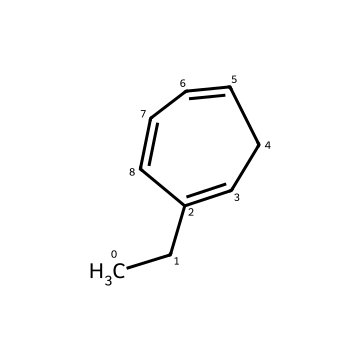 CCC1=CCC=CC=C1